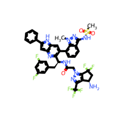 Cn1nc(NS(C)(=O)=O)c2cccc(-c3cc4[nH]c(-c5ccccc5)cc4nc3[C@H](Cc3cc(F)cc(F)c3)NC(=O)Cn3nc(C(F)(F)F)c4c3C(F)(F)C[C@@H]4N)c21